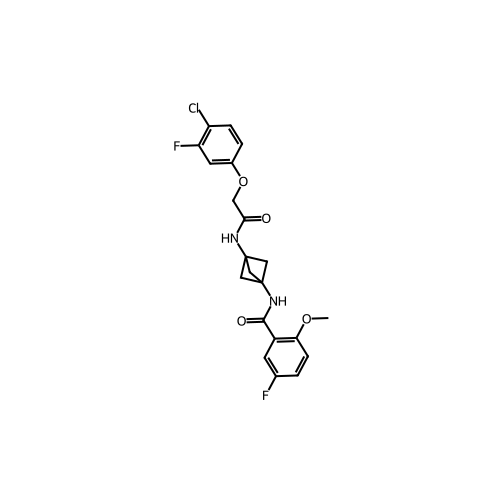 COc1ccc(F)cc1C(=O)NC12CC(NC(=O)COc3ccc(Cl)c(F)c3)(C1)C2